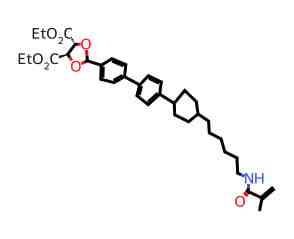 C=C(C)C(=O)NCCCCCCC1CCC(c2ccc(-c3ccc(C4O[C@@H](C(=O)OCC)[C@H](C(=O)OCC)O4)cc3)cc2)CC1